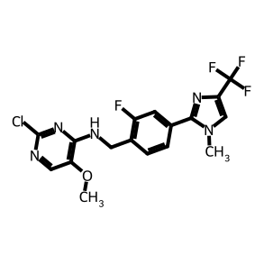 COc1cnc(Cl)nc1NCc1ccc(-c2nc(C(F)(F)F)cn2C)cc1F